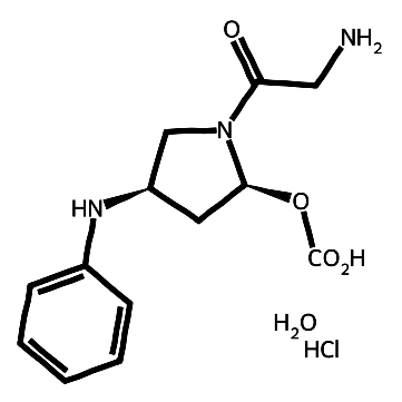 Cl.NCC(=O)N1C[C@H](Nc2ccccc2)C[C@@H]1OC(=O)O.O